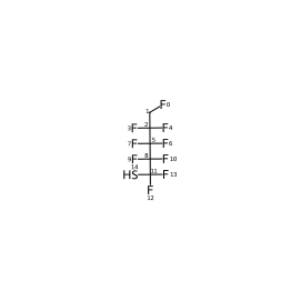 FCC(F)(F)C(F)(F)C(F)(F)C(F)(F)S